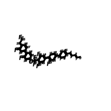 CCCCCc1ccc(-c2ccc(-c3cc(F)c(C(F)(F)Oc4ccc(-c5ccc(CCF)c(F)c5)c(F)c4)c(F)c3)c(F)c2)cc1